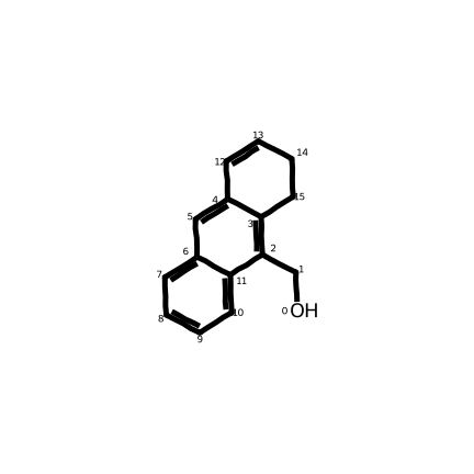 OCc1c2c(cc3ccccc13)C=CCC2